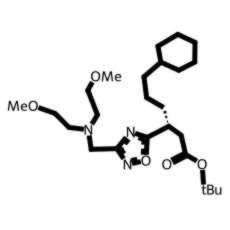 COCCN(CCOC)Cc1noc([C@H](CCCC2CCCCC2)CC(=O)OC(C)(C)C)n1